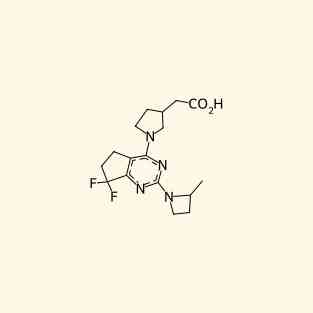 CC1CCN1c1nc(N2CCC(CC(=O)O)C2)c2c(n1)C(F)(F)CC2